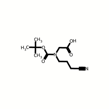 CC(C)(C)OC(=O)N(CCCC#N)CC(=O)O